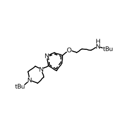 CC(C)(C)NCCCOc1ccc(N2CCN(C(C)(C)C)CC2)nc1